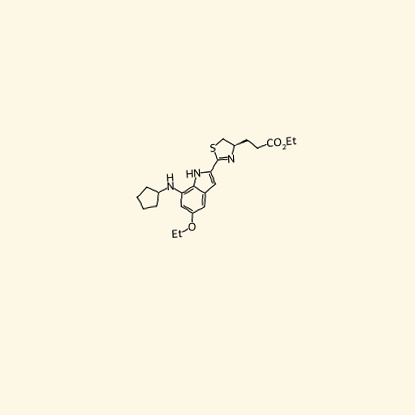 CCOC(=O)CC[C@@H]1CSC(c2cc3cc(OCC)cc(NC4CCCC4)c3[nH]2)=N1